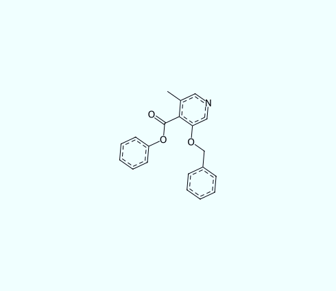 Cc1cncc(OCc2ccccc2)c1C(=O)Oc1ccccc1